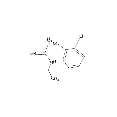 CCNC(=N)N.Clc1ccccc1Br